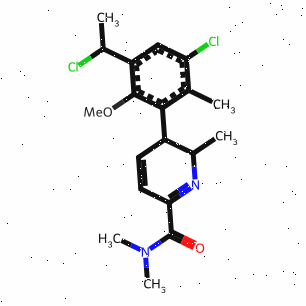 COc1c(C(C)Cl)cc(Cl)c(C)c1C1C=CC(C(=O)N(C)C)=NC1C